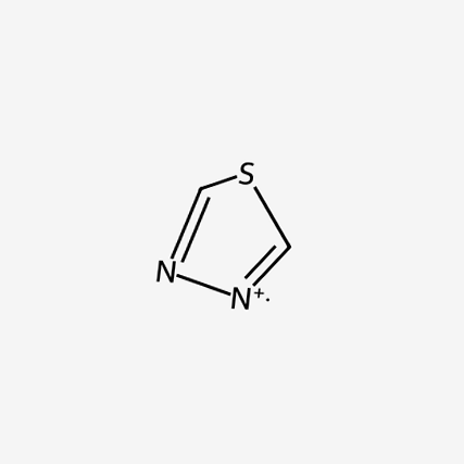 C1=N[N+]=CS1